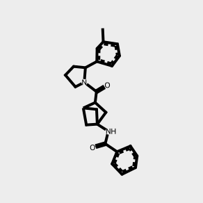 Cc1cccc(C2CCCN2C(=O)C2CC3(NC(=O)c4ccccc4)CC2C3)c1